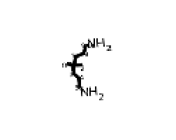 CC(C)(CCCN)CCCN